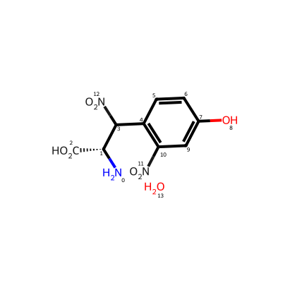 N[C@H](C(=O)O)C(c1ccc(O)cc1[N+](=O)[O-])[N+](=O)[O-].O